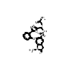 COc1ccccc1-c1nnc([C@H](CC(N)=O)NS(=O)(=O)c2ccc3c(c2)CC(=O)N3C)o1